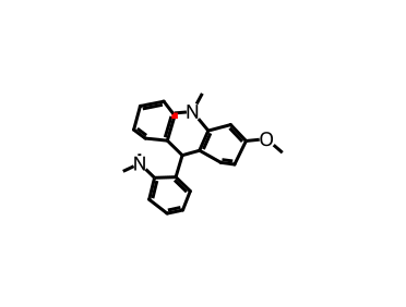 COc1ccc(C(c2ccccc2)c2ccccc2N(C)C)c(N(C)C)c1